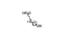 O=C(O)/C=C\C(=O)NCCCCC(=O)O